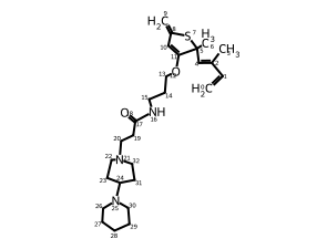 C=C/C(C)=C/C1(C)SC(=C)C=C1OCCCNC(=O)CCN1CCC(N2CCCCC2)CC1